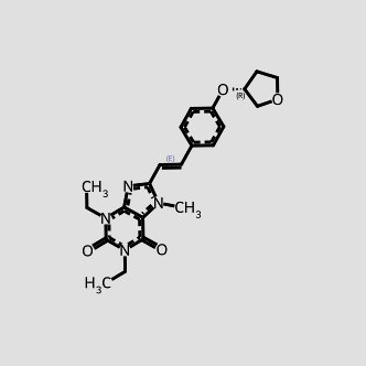 CCn1c(=O)c2c(nc(/C=C/c3ccc(O[C@@H]4CCOC4)cc3)n2C)n(CC)c1=O